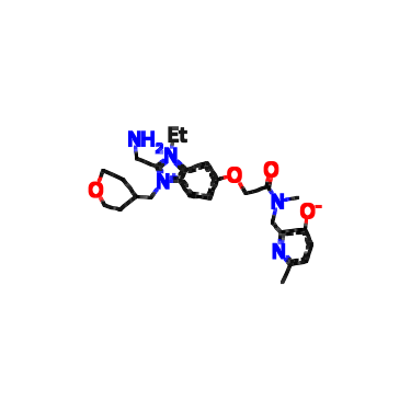 CCn1c(CN)[n+](CC2CCOCC2)c2ccc(OCC(=O)N(C)Cc3nc(C)ccc3[O-])cc21